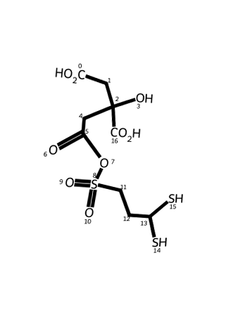 O=C(O)CC(O)(CC(=O)OS(=O)(=O)CCC(S)S)C(=O)O